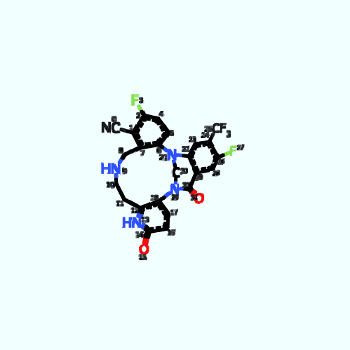 N#Cc1c(F)ccc2c1CNCCc1[nH]c(=O)ccc1N1CN2c2cc(C(F)(F)F)c(F)cc2C1=O